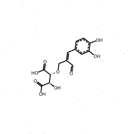 O=C/C(=C\c1ccc(O)c(O)c1)CO[C@@H](C(=O)O)[C@@H](O)C(=O)O